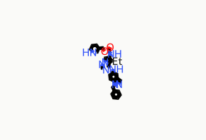 CCc1c(NC(=O)OCC2CCCNC2)cn2ncnc(Nc3ccc4c(cnn4Cc4ccccc4)c3)c12